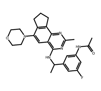 CC(=O)Nc1cc(F)cc(C(C)Nc2nc(C)nc3c4c(c(N5CCOCC5)cc23)CCC4)c1